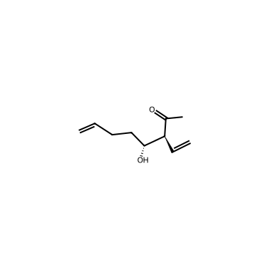 C=CCC[C@@H](O)[C@H](C=C)C(C)=O